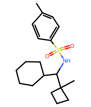 Cc1ccc(S(=O)(=O)NC(C2CCCCC2)C2(C)CCC2)cc1